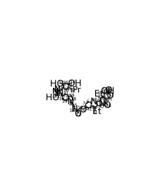 CCc1c2c(nc3ccc(OCC(=O)N(C)CCn4ccc5cc(-n6c(O)nnc6-c6cc(C(C)C)c(O)cc6O)ccc54)cc13)-c1cc3c(c(=O)n1C2)COC(=O)C3(O)CC